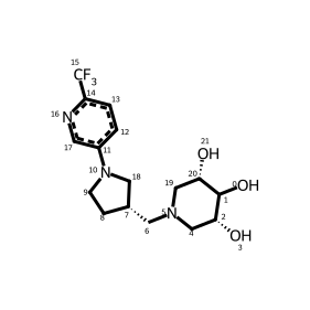 OC1[C@H](O)CN(C[C@@H]2CCN(c3ccc(C(F)(F)F)nc3)C2)C[C@@H]1O